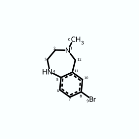 CN1CCNc2ccc(Br)cc2C1